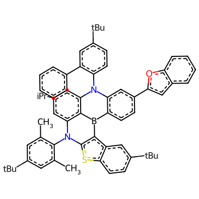 Cc1cc(C(C)(C)C)cc(C)c1N1c2cc(C(C)C)cc3c2B(c2ccc(-c4cc5ccccc5o4)cc2N3c2ccc(C(C)(C)C)cc2-c2ccccc2)c2c1sc1ccc(C(C)(C)C)cc21